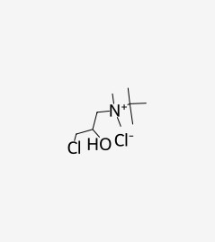 CC(C)(C)[N+](C)(C)CC(O)CCl.[Cl-]